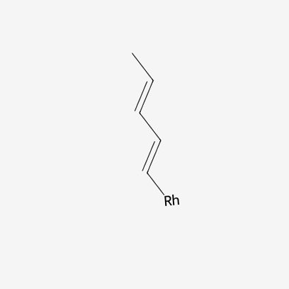 CC=CC=[CH][Rh]